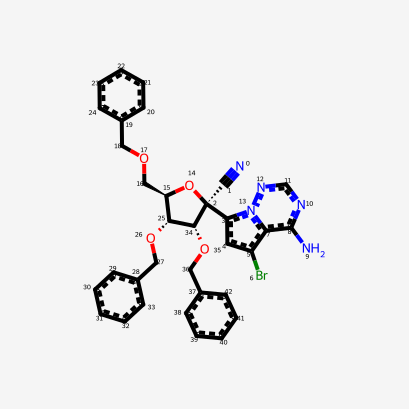 N#C[C@@]1(c2cc(Br)c3c(N)ncnn23)O[C@H](COCc2ccccc2)[C@@H](OCc2ccccc2)[C@H]1OCc1ccccc1